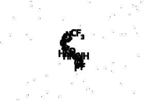 O=C(Nc1c[nH]c2cc(F)c(F)cc12)NC1CC(OC2CCN(CC(F)(F)F)CC2)C1